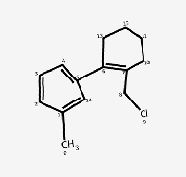 Cc1cccc(C2=C(CCl)CCCC2)c1